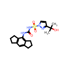 CC(C)(O)c1ccn(S(=O)(=O)NC(=O)Nc2c3c(cc4c2CCC4)CCC3)n1